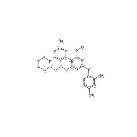 CCOc1cc(Cc2cnc(N)nc2N)cc(OCCC2CCCCO2)c1-c1cccc(N)c1